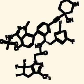 C[C@@H]1Cc2c(C(F)(F)F)nn(CC(=O)N[C@@H](Cc3cc(F)cc(F)c3)c3nc(C#CC4(O)CCCNC4)ccc3-c3ccc(Cl)c4c(NS(C)(=O)=O)nn(C)c34)c2C1(F)F